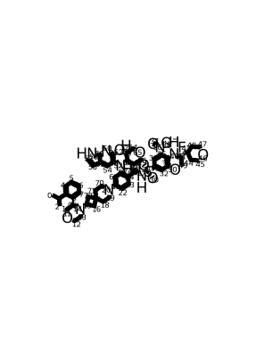 CC(C)c1ccccc1[C@@H]1COCCN1C1CC2(CCN(c3ccc(C(=O)NS(=O)(=O)c4cc5c(c([N+](=O)[O-])c4)N[C@H](C4(F)CCOCC4)CO5)c(N4c5cc6cc[nH]c6nc5O[C@H]5COCC[C@@H]54)c3)CC2)C1